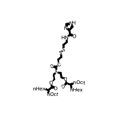 CCCCCCCCC(CCCCCC)C(=O)OCCN(CCOC(=O)C(CCCCCC)CCCCCCCC)C(=O)OCCSSCCNC(=O)c1c[nH]cn1